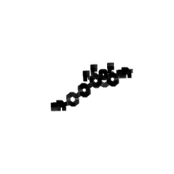 CCCc1ccc2c(c1F)Oc1c(cc(-c3ccc(C4CCC(CCC)CC4)cc3)c(F)c1F)C2